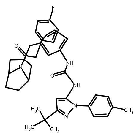 Cc1ccc(-n2nc(C(C)(C)C)cc2NC(=O)Nc2cccc(CC3CC4CCC(C3)N4C(=O)Cc3ccc(F)cc3)c2)cc1